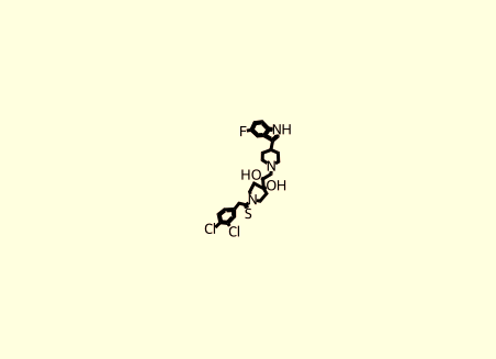 OC(CN1CCC(c2c[nH]c3ccc(F)cc23)CC1)C1(O)CCN(C(=S)Cc2ccc(Cl)c(Cl)c2)CC1